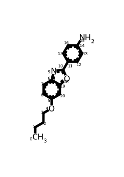 CCCCOc1ccc2nc(-c3ccc(N)cc3)oc2c1